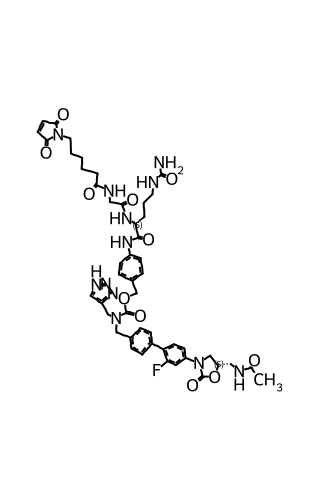 CC(=O)NC[C@H]1CN(c2ccc(-c3ccc(CN(Cc4c[nH]nn4)C(=O)OCc4ccc(NC(=O)[C@H](CCCNC(N)=O)NC(=O)CNC(=O)CCCCCN5C(=O)C=CC5=O)cc4)cc3)c(F)c2)C(=O)O1